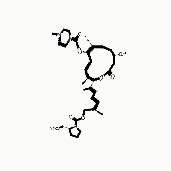 C/C(=C\C=C\[C@@H](C)COC(=O)N1CCC[C@@H]1CO)[C@H]1OC(=O)C[C@@H](O)CC[C@@H](C)[C@@H](OC(=O)N2CCN(C)CC2)/C=C/[C@@H]1C